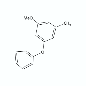 COc1cc(C)cc(Oc2ccccc2)c1